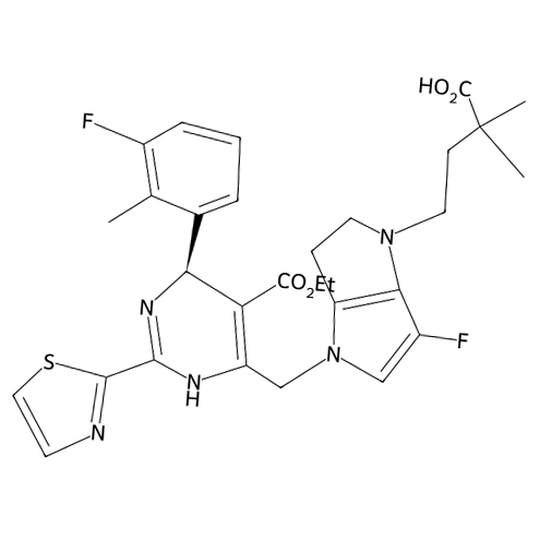 CCOC(=O)C1=C(Cn2cc(F)c3c2CCN3CCC(C)(C)C(=O)O)NC(c2nccs2)=N[C@H]1c1cccc(F)c1C